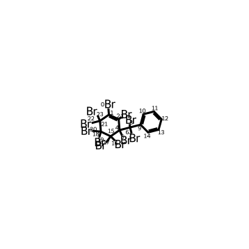 BrC1=C(Br)C(Br)(C(Br)(Br)c2ccccc2)C(Br)(Br)C(Br)(Br)C1(Br)Br